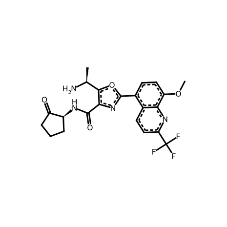 COc1ccc(-c2nc(C(=O)N[C@H]3CCCC3=O)c([C@H](C)N)o2)c2ccc(C(F)(F)F)nc12